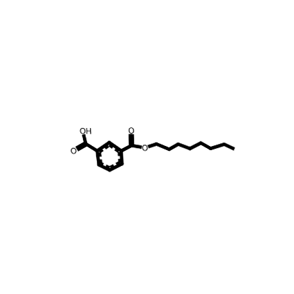 CCCCCCCCOC(=O)c1cccc(C(=O)O)c1